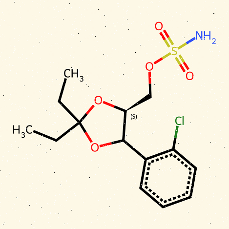 CCC1(CC)OC(c2ccccc2Cl)[C@H](COS(N)(=O)=O)O1